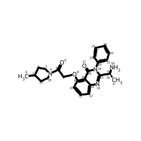 CC1CCN(C(=O)COc2cccc3nc([C@H](C)N)n(-c4ccccc4)c(=O)c23)CC1